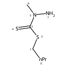 CCCCSC(=S)N(C)N